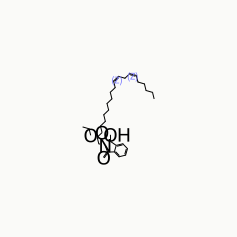 CCCCC/C=C\C/C=C\CCCCCCCCOC(CN1C(=O)c2ccccc2C1O)OCC